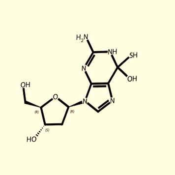 NC1=Nc2c(ncn2[C@H]2C[C@H](O)[C@@H](CO)O2)C(O)(S)N1